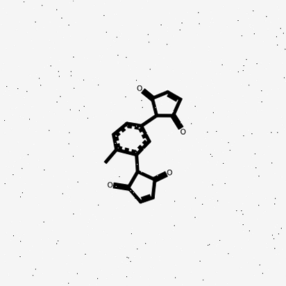 Cc1ccc(C2C(=O)C=CC2=O)cc1C1C(=O)C=CC1=O